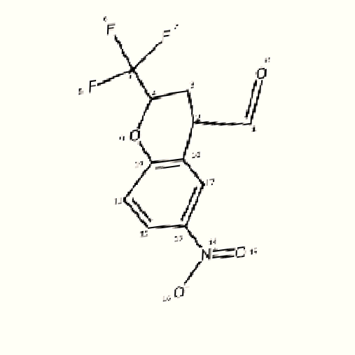 O=CC1CC(C(F)(F)F)Oc2ccc([N+](=O)[O-])cc21